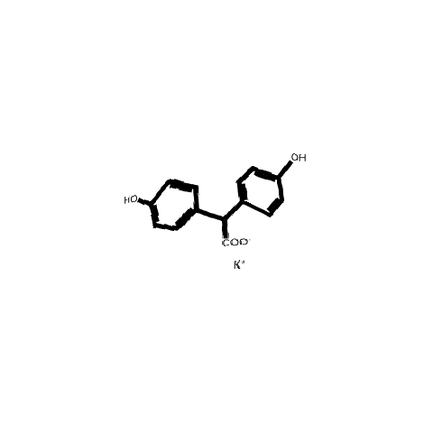 O=C([O-])C(c1ccc(O)cc1)c1ccc(O)cc1.[K+]